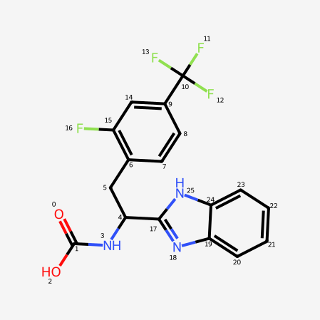 O=C(O)NC(Cc1ccc(C(F)(F)F)cc1F)c1nc2ccccc2[nH]1